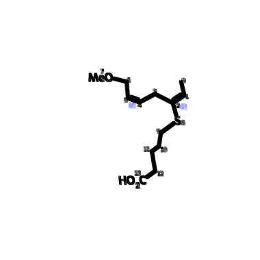 C/C=C(\C/C=C\COC)SCCCCC(=O)O